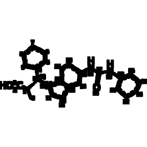 CC(C(=O)O)[C@H](c1ccccc1)n1cnc2cc(NC(=O)Nc3ccccc3)ccc21